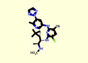 Cc1ncc(Nc2nc(N[C@H]([C@H](C)NC(=O)O)[C@H]3CC3(C)C)c(F)cc2C#N)cc1-n1nccn1